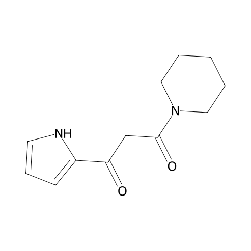 O=C(CC(=O)N1CCCCC1)c1ccc[nH]1